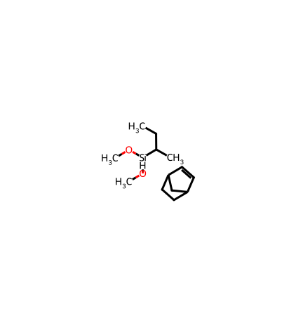 C1=CC2CCC1C2.CCC(C)[SiH](OC)OC